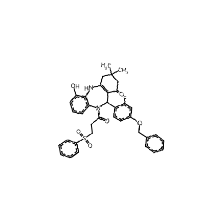 CC1(C)CC(=O)C2=C(C1)Nc1c(O)cccc1N(C(=O)CCS(=O)(=O)c1ccccc1)C2c1ccc(OCc2ccccc2)cc1F